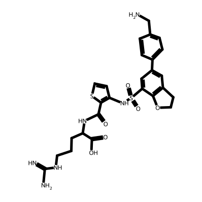 N=C(N)NCCCC(NC(=O)c1sccc1NS(=O)(=O)c1cc(-c2ccc(CN)cc2)cc2c1OCC2)C(=O)O